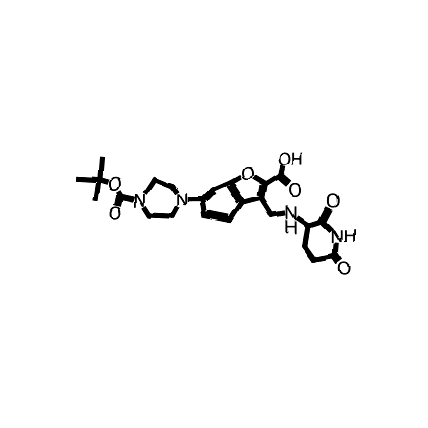 CC(C)(C)OC(=O)N1CCN(c2ccc3c(CNC4CCC(=O)NC4=O)c(C(=O)O)oc3c2)CC1